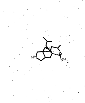 CC(C)CC1(CC(C)C)C2NCC3CC1(C(N)=O)N=CC32